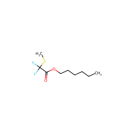 CCCCCCOC(=O)C(F)(F)SC